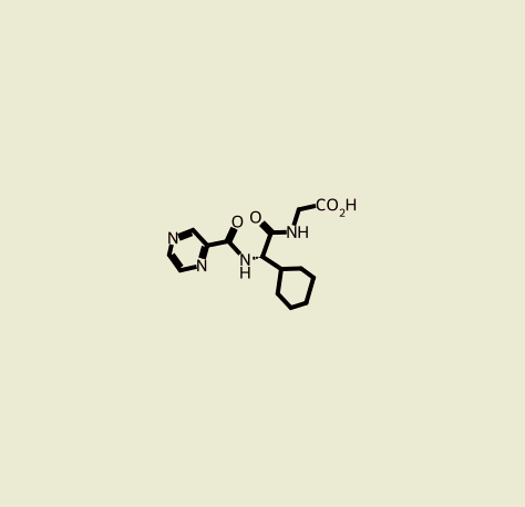 O=C(O)CNC(=O)[C@@H](NC(=O)c1cnccn1)C1CCCCC1